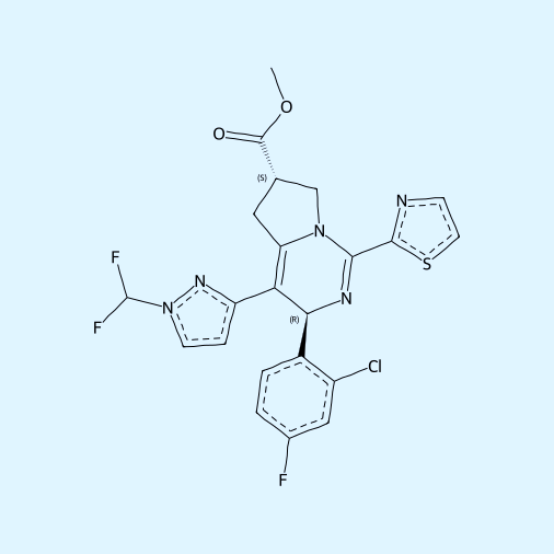 COC(=O)[C@H]1CC2=C(c3ccn(C(F)F)n3)[C@H](c3ccc(F)cc3Cl)N=C(c3nccs3)N2C1